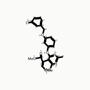 CO/C=C(/C(=O)OC)c1c(Oc2cccc(OCc3cccc(Cl)c3)c2)nc(C)nc1SC